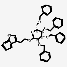 c1ccc(COC[C@H]2OC(OCCc3c[nH]c4ccccc34)[C@H](OCc3ccccc3)[C@@H](OCc3ccccc3)[C@@H]2OCc2ccccc2)cc1